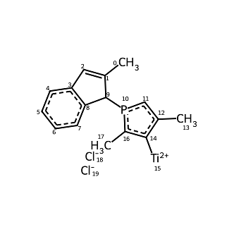 CC1=Cc2ccccc2C1p1cc(C)[c]([Ti+2])c1C.[Cl-].[Cl-]